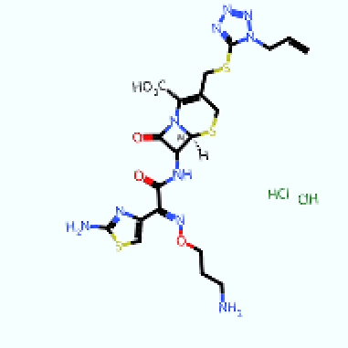 C=CCn1nnnc1SCC1=C(C(=O)O)N2C(=O)C(NC(=O)C(=NOCCCN)c3csc(N)n3)[C@@H]2SC1.Cl.Cl